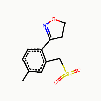 Cc1[c]cc(C2=NOCC2)c(C[SH](=O)=O)c1